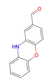 O=Cc1ccc2c(c1)Nc1ccccc1O2